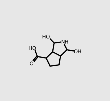 O=C(O)C1CCC2C(O)NC(O)C12